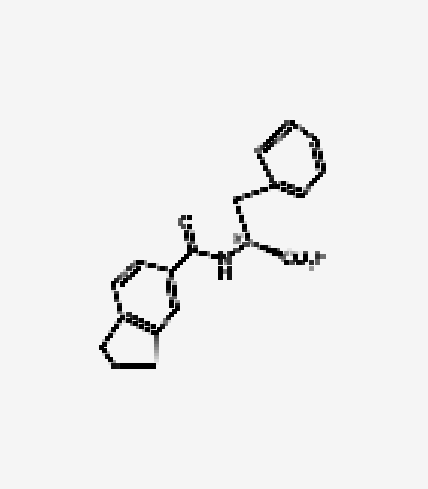 O=C(N[C@@H](Cc1ccccc1)C(=O)O)c1ccc2c(c1)CCC2